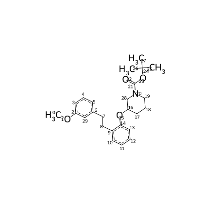 COc1cccc(CCc2ccccc2OC2CCCN(C(=O)OC(C)(C)C)C2)c1